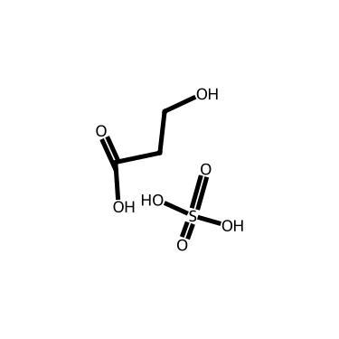 O=C(O)CCO.O=S(=O)(O)O